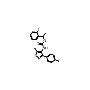 Cc1onc(-c2ccc(F)cc2)c1NC(=O)OC(C)c1ccccc1Cl